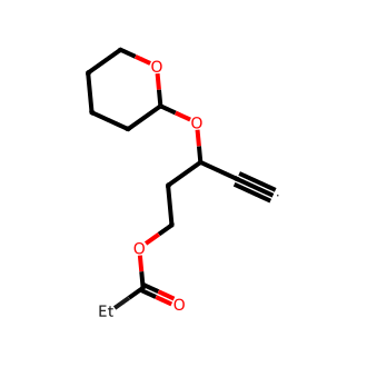 [C]#CC(CCOC(=O)CC)OC1CCCCO1